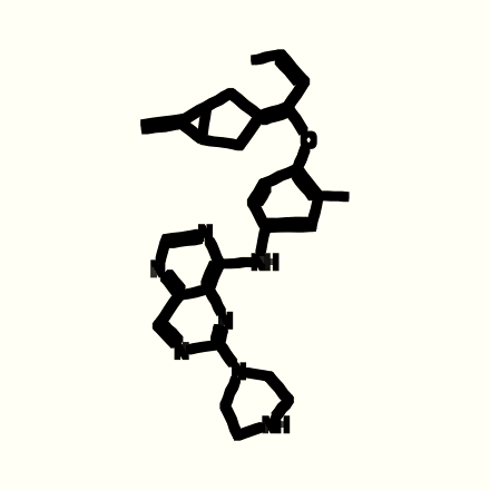 C=C1C2CC(=C(/C=C\C)Oc3ccc(Nc4ncnc5cnc(N6CCNCC6)nc45)cc3C)CC12